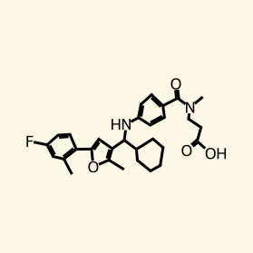 Cc1cc(F)ccc1-c1cc(C(Nc2ccc(C(=O)N(C)CCC(=O)O)cc2)C2CCCCC2)c(C)o1